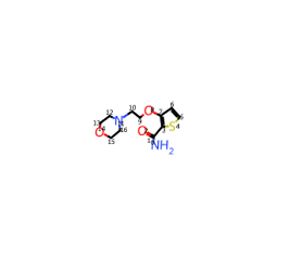 NC(=O)c1sccc1OCCN1CCOCC1